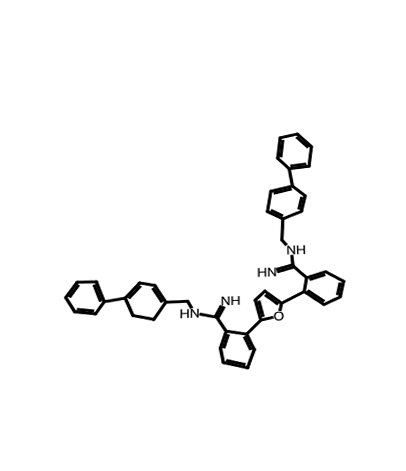 N=C(NCC1=CC=C(c2ccccc2)CC1)c1ccccc1-c1ccc(-c2ccccc2C(=N)NCc2ccc(-c3ccccc3)cc2)o1